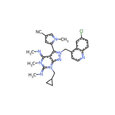 CN=c1c2c(-c3cc(C#N)cn3C)n(Cc3ccnc4ccc(Cl)cc34)nc2n(CC2CC2)c(=NC)n1C